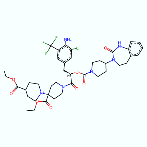 CCOC(=O)C1CC[N+](C2(C(=O)OCC)CCN(C(=O)[C@@H](Cc3cc(Cl)c(N)c(C(F)(F)F)c3)OC(=O)N3CCC(N4CCc5ccccc5NC4=O)CC3)CC2)CC1